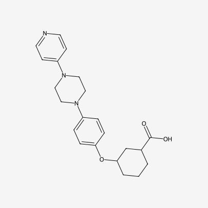 O=C(O)C1CCCC(Oc2ccc(N3CCN(c4ccncc4)CC3)cc2)C1